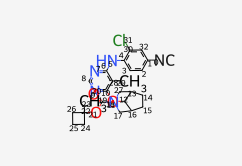 [C-]#[N+]c1ccc(Nc2ncnc(OC3C4CCC3CN(C(=O)OC3(C)CCC3)C4)c2C)c(Cl)c1